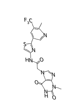 Cc1ncc(-c2nc(NC(=O)Cn3cnc4c3c(=O)[nH]c(=O)n4C)cs2)cc1C(F)(F)F